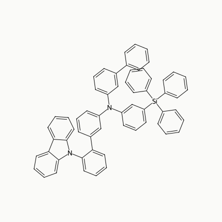 c1ccc(-c2cccc(N(c3cccc(-c4ccccc4-n4c5ccccc5c5ccccc54)c3)c3cccc([Si](c4ccccc4)(c4ccccc4)c4ccccc4)c3)c2)cc1